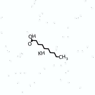 CCCCCCCCCC(=O)O.[KH]